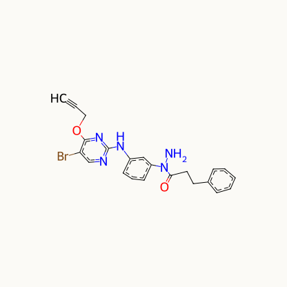 C#CCOc1nc(Nc2cccc(N(N)C(=O)CCc3ccccc3)c2)ncc1Br